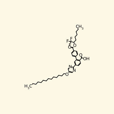 CCCCCCCCCCCCCCOc1cnc(-c2ccc(C(=O)O)c(-c3ccc(C(=O)OC(CCCCCC)C(F)(F)F)cc3)c2)nc1